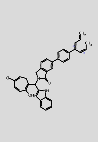 C=C/C=C(\C=C/C)c1ccc(-c2ccc3c(c2)C(=O)N(C(C2=C(O)C=CC(Cl)=CC2)c2nc4ccccc4[nH]2)C3)cc1